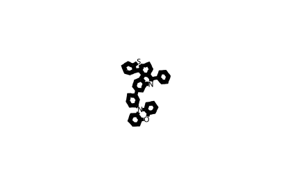 c1ccc(-c2nc3cc(-c4cccc(N5c6ccccc6Oc6ccccc65)c4)ccc3c3c2ccc2sc4ccccc4c23)cc1